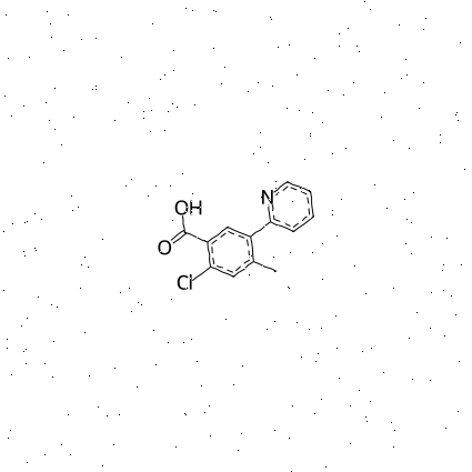 Cc1cc(Cl)c(C(=O)O)cc1-c1ccccn1